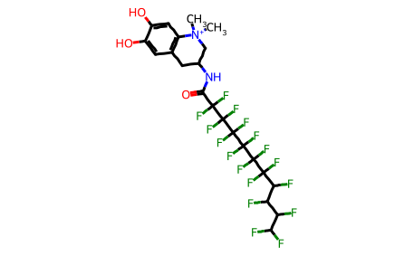 C[N+]1(C)CC(NC(=O)C(F)(F)C(F)(F)C(F)(F)C(F)(F)C(F)(F)C(F)(F)C(F)C(F)C(F)C(F)F)Cc2cc(O)c(O)cc21